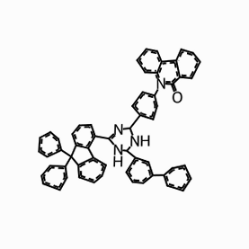 O=c1c2ccccc2c2ccccc2n1-c1ccc(C2N=C(c3cccc4c3-c3ccccc3C4(c3ccccc3)c3ccccc3)NC(c3cccc(-c4ccccc4)c3)N2)cc1